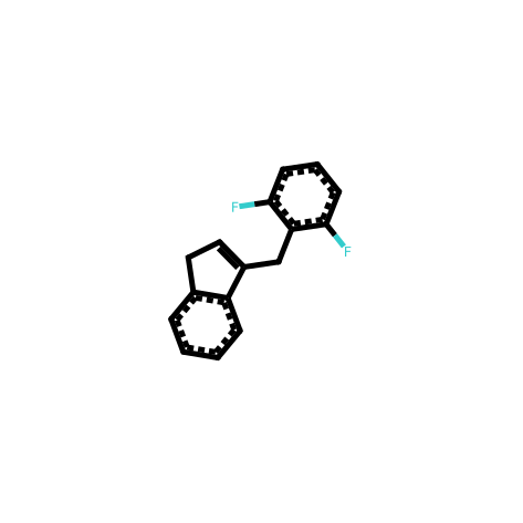 Fc1cccc(F)c1CC1=CCc2ccccc21